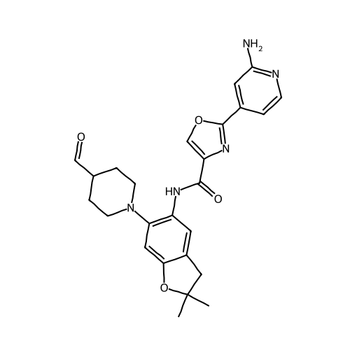 CC1(C)Cc2cc(NC(=O)c3coc(-c4ccnc(N)c4)n3)c(N3CCC(C=O)CC3)cc2O1